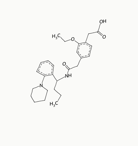 CCCC(NC(=O)Cc1ccc(CC(=O)O)c(OCC)c1)c1ccccc1N1CCCCC1